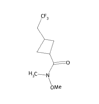 CON(C)C(=O)C1CC(CC(F)(F)F)C1